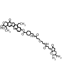 CCc1c2c(nc3ccc(OC(=O)C4CCC(CNC(=O)CCOCCNC(=O)CCN5C(=O)CC(SC(P)P)C5=O)CC4)cc13)-c1cc3c(c(=O)n1C2)COC(=O)[C@]3(O)CC